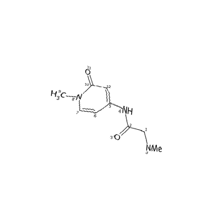 CNCC(=O)Nc1ccn(C)c(=O)c1